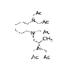 CC(=O)CN(CC(C)=O)C(C)CN(CC(C)=O)C1CCCCC1N(CC(C)=O)CC(C)=O